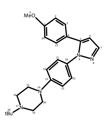 COc1ccc(-c2ccnn2-c2ccc(N3CCN(C(C)(C)C)CC3)cc2)cc1